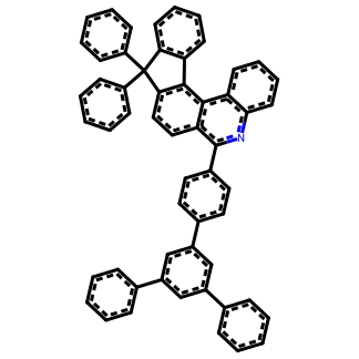 c1ccc(-c2cc(-c3ccccc3)cc(-c3ccc(-c4nc5ccccc5c5c6c(ccc45)C(c4ccccc4)(c4ccccc4)c4ccccc4-6)cc3)c2)cc1